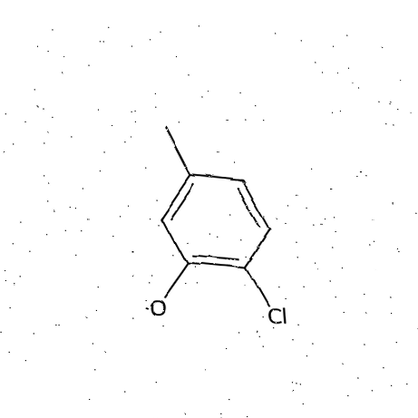 Cc1ccc(Cl)c([O])c1